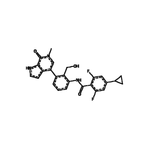 Cn1cc(-c2cccc(NC(=O)c3c(F)cc(C4CC4)cc3F)c2CO)c2cc[nH]c2c1=O